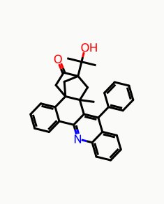 CC(C)(O)C12CC3(C)c4c(nc5ccccc5c4-c4ccccc4)-c4ccccc4C3(CC1=O)C2